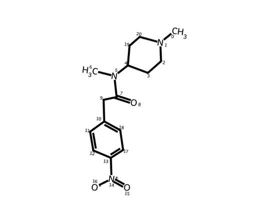 CN1CCC(N(C)C(=O)Cc2ccc([N+](=O)[O-])cc2)CC1